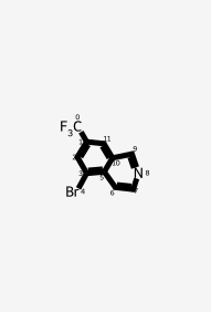 FC(F)(F)c1cc(Br)c2ccncc2c1